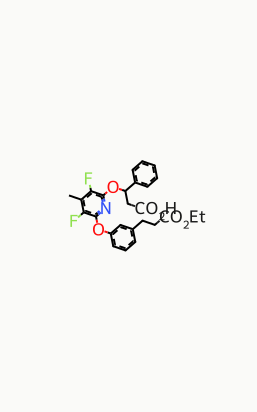 CCOC(=O)CCc1cccc(Oc2nc(OC(CC(=O)O)c3ccccc3)c(F)c(C)c2F)c1